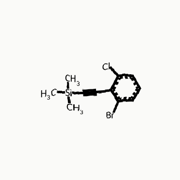 C[Si](C)(C)C#Cc1c(Cl)cccc1Br